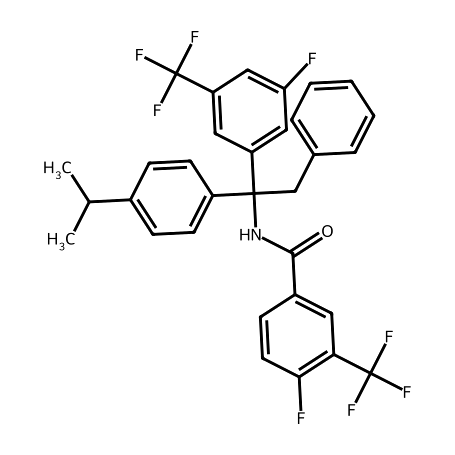 CC(C)c1ccc(C(Cc2ccccc2)(NC(=O)c2ccc(F)c(C(F)(F)F)c2)c2cc(F)cc(C(F)(F)F)c2)cc1